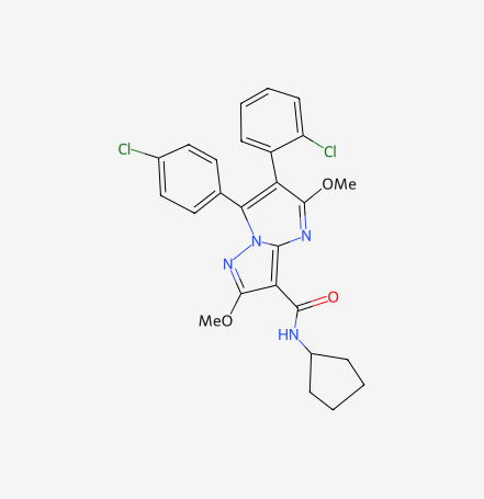 COc1nc2c(C(=O)NC3CCCC3)c(OC)nn2c(-c2ccc(Cl)cc2)c1-c1ccccc1Cl